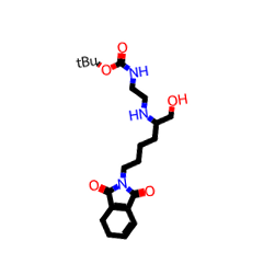 CC(C)(C)OC(=O)NCCNC(CO)CCCCN1C(=O)C2=C(CCC=C2)C1=O